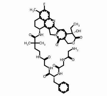 CC[C@@]1(O)C(=O)OCc2c1cc1n(c2=O)Cc2c-1nc1cc(F)c(C)c3c1c2[C@@H](NC(=O)C(C)(C)CCNC(=O)CNC(=O)[C@H](Cc1ccccc1)NC(=O)CNC(=O)CN)CC3